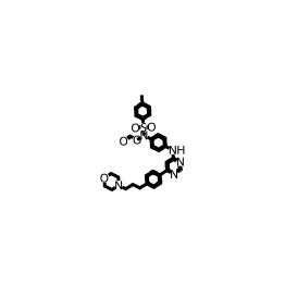 Cc1ccc(S(=O)(=O)N(OC=O)c2ccc(Nc3cc(-c4ccc(CCCN5CCOCC5)cc4)ncn3)cc2)cc1